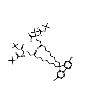 CC(C)(C)OC(=O)N[C@H](CCC(=O)OCCCCCCC1(CCCCCCOC(=O)CC[C@@](NC(=O)OC(C)(C)C)(C(=O)O)C(C)(C)C)c2cc(Br)ccc2-c2ccc(Br)cc21)C(=O)OC(C)(C)C